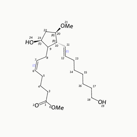 COC(=O)CCC/C=C\CC1[C@@H](/C=C/CCCCCCO)[C@H](OC)C[C@@H]1O